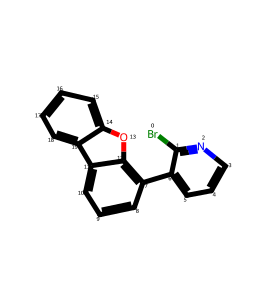 Brc1ncccc1-c1cccc2c1oc1ccccc12